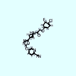 N#Cc1ccc(Oc2nnc(C34CC(NC(=O)COC5=CC=C(Cl)C(F)C5)(C3)C4)o2)cn1